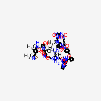 Cc1ncsc1-c1ccc([C@H](C)NC(=O)[C@@H]2C[C@@H](O)CN2C(=O)[C@@H](c2cc(OCCN3CCN(CCOc4cc(N5C6CCC5CN(c5cc(-c7ccccc7OCc7ccc(NC(=O)[C@H](CCCNC(N)=O)N(CCN(C)CCN8C(=O)C=CC8=O)C(=O)C8(C(N)=O)CCC8)cc7)nnc5N)C6)ccn4)[C@H](C)C3)no2)C(C)C)cc1